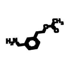 CC(=O)OCCc1cccc(CN)c1